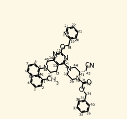 Cc1cccc2cccc(N3CCc4c(nc(OCc5ccccn5)nc4N4CCN(C(=O)OCc5ccccc5)[C@@H](CC#N)C4)C3)c12